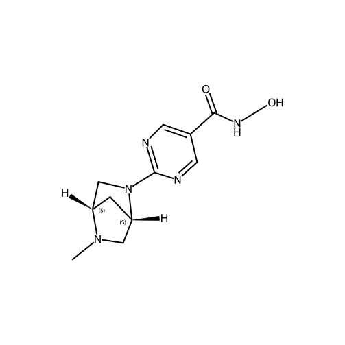 CN1C[C@@H]2C[C@H]1CN2c1ncc(C(=O)NO)cn1